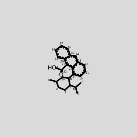 CC1CCC(C(C)C)C(c2cccc3cc4ccccc4c(C(=O)O)c23)C1